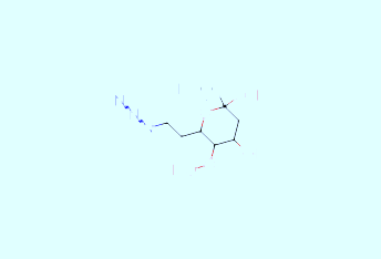 [N-]=[N+]=NCCC1OC(O)(C(=O)O)CC(O)C1OO